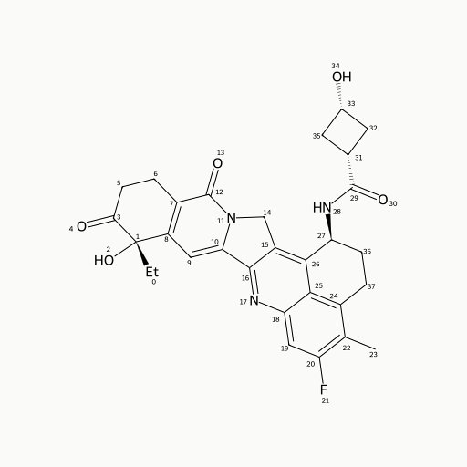 CC[C@@]1(O)C(=O)CCc2c1cc1n(c2=O)Cc2c-1nc1cc(F)c(C)c3c1c2[C@@H](NC(=O)[C@H]1C[C@@H](O)C1)CC3